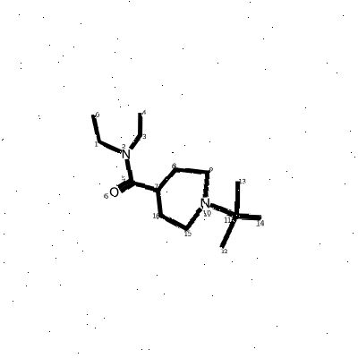 CCN(CC)C(=O)C1CCN(C(C)(C)C)CC1